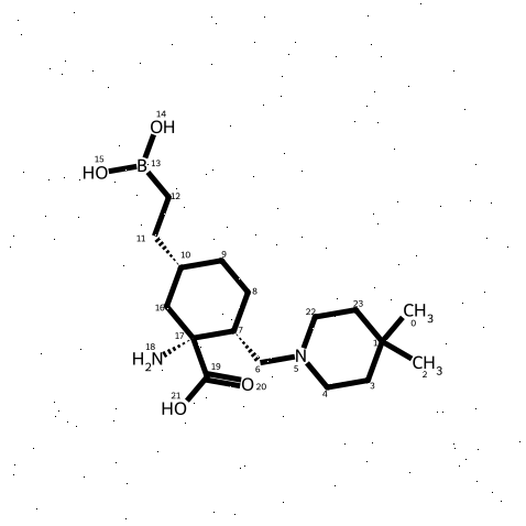 CC1(C)CCN(C[C@H]2CC[C@@H](CCB(O)O)C[C@]2(N)C(=O)O)CC1